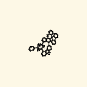 c1ccc(-c2nc(-c3ccccc3)nc(-c3cccc4oc5ccc(-c6ccc7c(c6)C6(c8ccccc8S7)c7ccccc7-c7ccccc76)cc5c34)n2)cc1